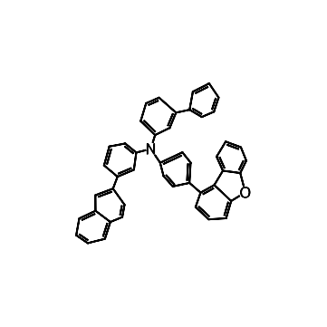 c1ccc(-c2cccc(N(c3ccc(-c4cccc5oc6ccccc6c45)cc3)c3cccc(-c4ccc5ccccc5c4)c3)c2)cc1